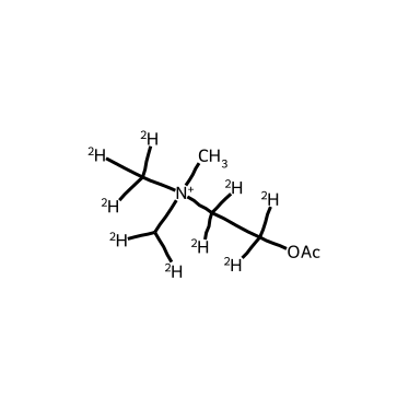 [2H]C([2H])[N+](C)(C([2H])([2H])[2H])C([2H])([2H])C([2H])([2H])OC(C)=O